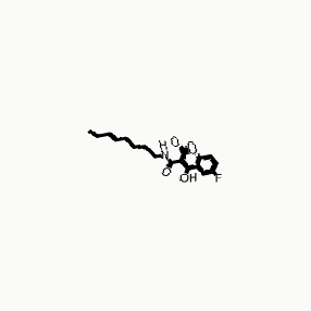 CCCCCCCCNC(=O)c1c(O)c2cc(F)ccc2oc1=O